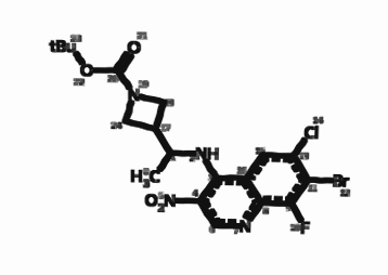 CC(Nc1c([N+](=O)[O-])cnc2c(F)c(Br)c(Cl)cc12)C1CN(C(=O)OC(C)(C)C)C1